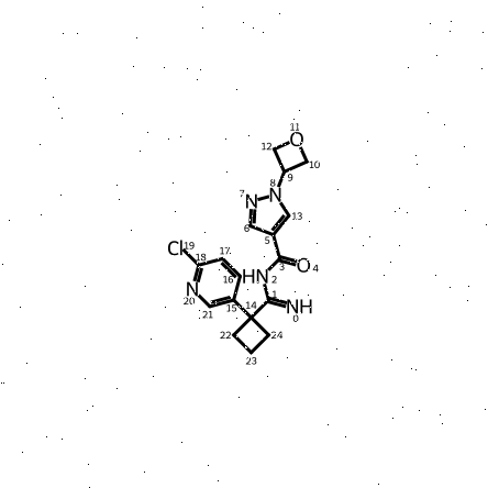 N=C(NC(=O)c1cnn(C2COC2)c1)C1(c2ccc(Cl)nc2)CCC1